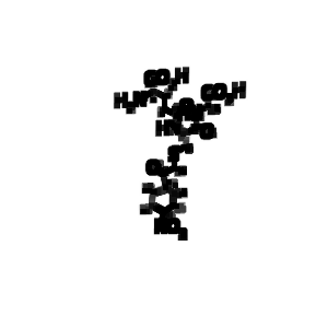 N[C@@H](CCC(=O)N[C@@H](CSCC(=O)c1ccc([N+](=O)[O-])cc1)C(=O)NCC(=O)O)C(=O)O